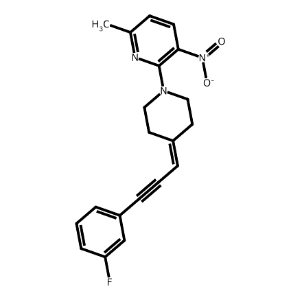 Cc1ccc([N+](=O)[O-])c(N2CCC(=CC#Cc3cccc(F)c3)CC2)n1